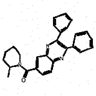 CC1CCCCN1C(=O)c1ccc2nc(-c3ccccc3)c(-c3ccccc3)nc2c1